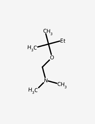 CCC(C)(C)OCN(C)C